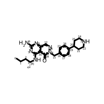 CCC[C@@H](C)Nc1nc(N)nc2cnn(Cc3ccc(C4CCNCC4)cc3)c(=O)c12